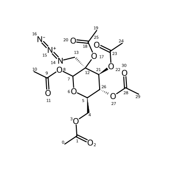 CC(=O)OC[C@H]1OC(OC(C)=O)[C@@](CN=[N+]=[N-])(OC(C)=O)[C@@H](OC(C)=O)[C@@H]1OC(C)=O